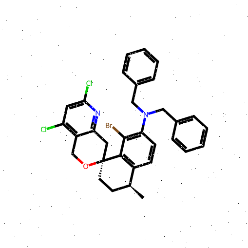 C[C@H]1CC[C@]2(Cc3nc(Cl)cc(Cl)c3CO2)c2c1ccc(N(Cc1ccccc1)Cc1ccccc1)c2Br